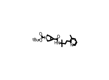 Cc1cccnc1CCC(C)(C)NC(=O)C1C2CN(C(=O)OC(C)(C)C)CC21